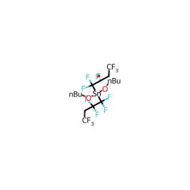 CCCC[O][Sn]([O]CCCC)([C](F)(F)C(F)(F)CC(F)(F)F)[C](F)(F)C(F)(F)CC(F)(F)F